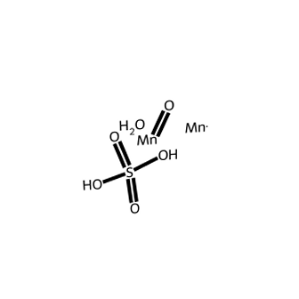 O.O=S(=O)(O)O.[Mn].[O]=[Mn]